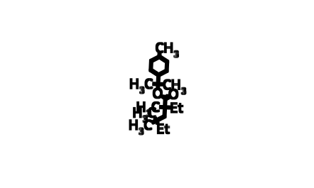 CCC(C)(C)CC(C)(CC)C(=O)OC(C)(C)C1CCC(C)CC1